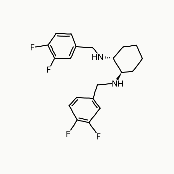 Fc1ccc(CN[C@@H]2CCCC[C@H]2NCc2ccc(F)c(F)c2)cc1F